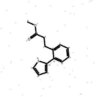 COC(=O)CCc1ccccc1-c1cccs1